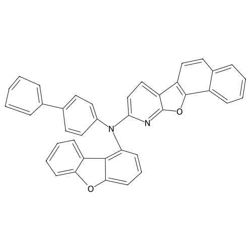 c1ccc(-c2ccc(N(c3ccc4c(n3)oc3c5ccccc5ccc43)c3cccc4oc5ccccc5c34)cc2)cc1